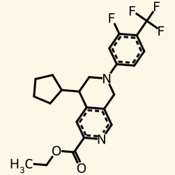 CCOC(=O)c1cc2c(cn1)CN(c1ccc(C(F)(F)F)c(F)c1)CC2C1CCCC1